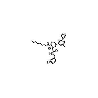 CCCCCCCCS(=O)(=O)N1CCN(c2cc(C)nc(-n3ccnc3)n2)CC1CC(=O)NCc1cccc(OC)c1